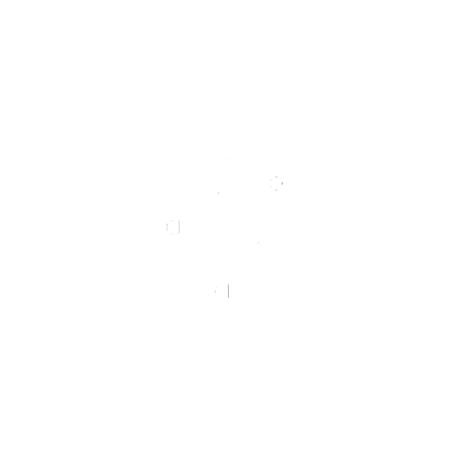 O=C(C1(CCl)CC1)C1(CCl)CC1